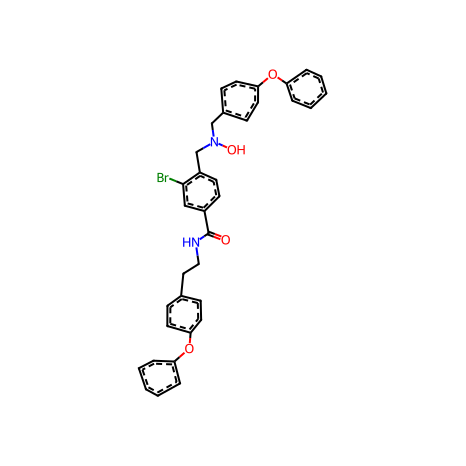 O=C(NCCc1ccc(Oc2ccccc2)cc1)c1ccc(CN(O)Cc2ccc(Oc3ccccc3)cc2)c(Br)c1